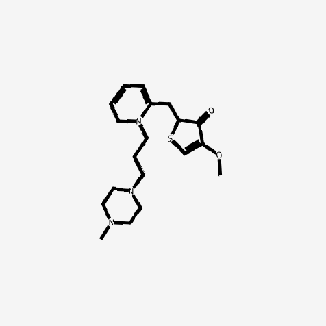 COC1=CSC(CC2=CC=CCN2CCCN2CCN(C)CC2)C1=O